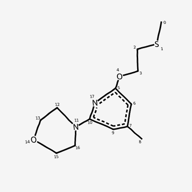 CSCCOc1cc(C)cc(N2CCOCC2)n1